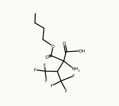 CCCCOC(=O)C(N)(C(=O)O)C(C(F)(F)F)C(F)(F)F